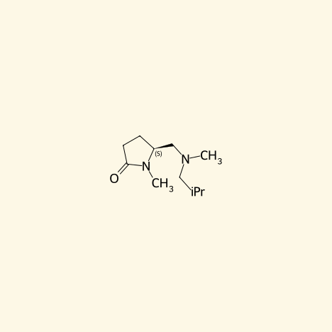 CC(C)CN(C)C[C@@H]1CCC(=O)N1C